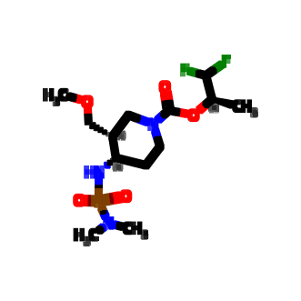 COC[C@@H]1CN(C(=O)O[C@H](C)C(F)F)CC[C@@H]1NS(=O)(=O)N(C)C